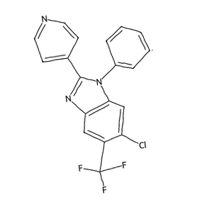 FC(F)(F)c1cc2nc(-c3ccncc3)n(-c3c[c]ccc3)c2cc1Cl